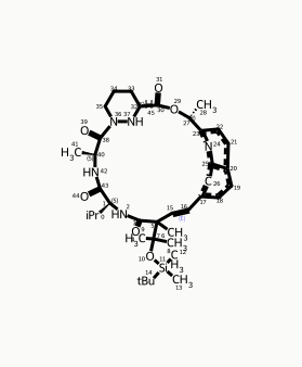 CC(C)[C@@H]1NC(=O)C(C)(C(C)(C)O[Si](C)(C)C(C)(C)C)/C=C/c2ccc3ccc(nc3c2)[C@@H](C)OC(=O)[C@@H]2CCCN(N2)C(=O)[C@H](C)NC1=O